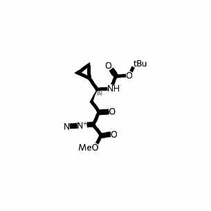 COC(=O)C(=[N+]=[N-])C(=O)C[C@H](NC(=O)OC(C)(C)C)C1CC1